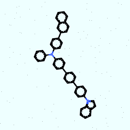 c1ccc(N(c2ccc(-c3ccc(-c4ccc(-n5ccc6ccccc65)cc4)cc3)cc2)c2ccc(-c3ccc4ccccc4c3)cc2)cc1